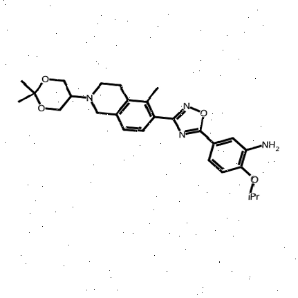 Cc1c(-c2noc(-c3ccc(OC(C)C)c(N)c3)n2)ccc2c1CCN(C1COC(C)(C)OC1)C2